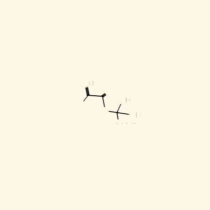 C=C(C)C(=O)OC(C)(O)C(=O)O